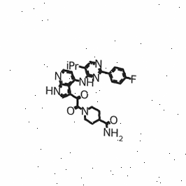 CC(C)c1cnc(-c2ccc(F)cc2)nc1Nc1ccnc2[nH]cc(C(=O)C(=O)N3CCC(C(N)=O)CC3)c12